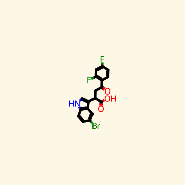 O=C(CC(C(=O)O)c1c[nH]c2ccc(Br)cc12)c1ccc(F)cc1F